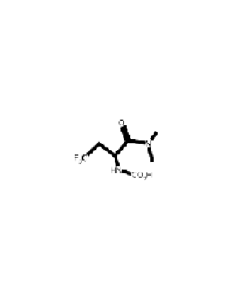 CN(C)C(=O)C(CC(F)(F)F)NC(=O)O